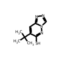 CC(C)(C)c1cc2nncn2nc1S